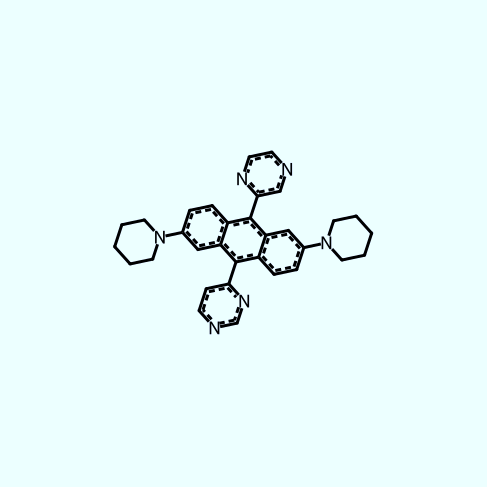 c1cc(-c2c3ccc(N4CCCCC4)cc3c(-c3cnccn3)c3ccc(N4CCCCC4)cc23)ncn1